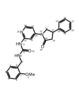 COc1ccccc1CNC(=O)Nc1cc(N2CC(c3ccccc3)CC2=O)ccn1